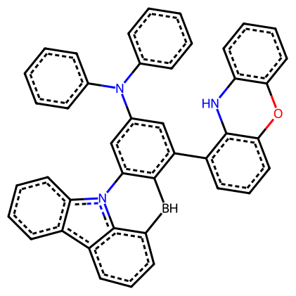 B1c2c(-c3cccc4c3Nc3ccccc3O4)cc(N(c3ccccc3)c3ccccc3)cc2-n2c3ccccc3c3cccc1c32